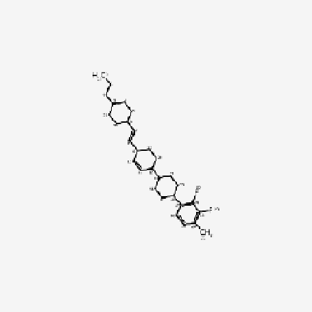 CCCC1CCC(/C=C/C2C=CC(C3CCC(c4ccc(C)c(F)c4F)CC3)CC2)CC1